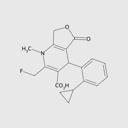 CN1C(CF)=C(C(=O)O)C(c2ccccc2C2CC2)C2=C1COC2=O